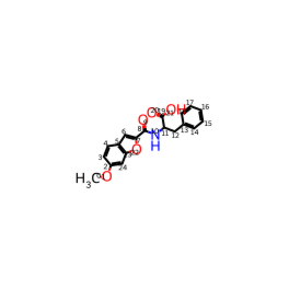 COc1ccc2cc(C(=O)NC(Cc3ccccc3)C(=O)O)oc2c1